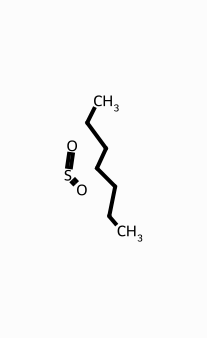 CCCCCCC.O=S=O